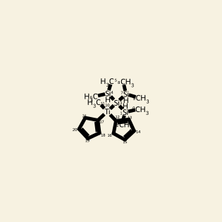 C[SiH](C)[Si]([SiH](C)C)([SiH](C)C)[Ti]([CH3])([C]1=CC=CC1)[C]1=CC=CC1